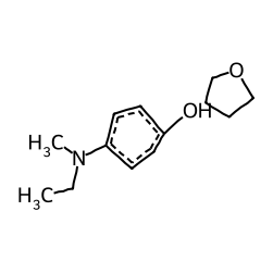 C1CCOC1.CCN(C)c1ccc(O)cc1